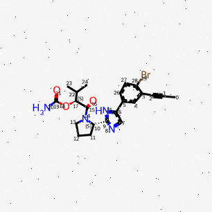 CC#Cc1cc(-c2cnc([C@@H]3CCCN3C(=O)[C@@H](OC(N)=O)C(C)C)[nH]2)ccc1Br